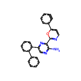 Nc1ncc(-c2ccccc2-c2ccccc2)nc1C1=NC=C=C(c2c#cccc2)O1